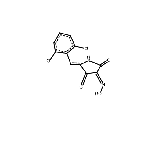 O=C1NC(=Cc2c(Cl)cccc2Cl)C(=O)C1=NO